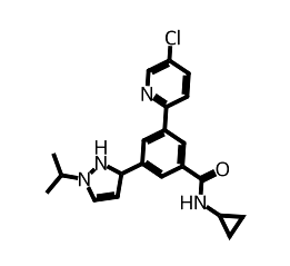 CC(C)N1C=CC(c2cc(C(=O)NC3CC3)cc(-c3ccc(Cl)cn3)c2)N1